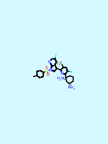 Cc1ccc(S(=O)(=O)n2cc(-c3nc([C@@]4(N)CCC[C@H](N)C4)c(F)cc3C(F)(F)F)c3cc(F)cnc32)cc1